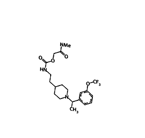 CNC(=O)COC(=O)NCCC1CCN(C(C)c2cccc(OC(F)(F)F)c2)CC1